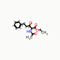 CCOC(=O)C(NC(C)=O)C(=O)CCc1ccccc1